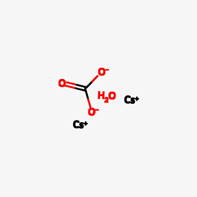 O.O=C([O-])[O-].[Cs+].[Cs+]